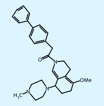 COC1=C2CCN(C(=O)Cc3ccc(-c4ccccc4)cc3)C=C2C(N2CCN(C)CC2)CC1